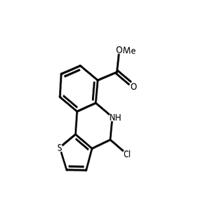 COC(=O)c1cccc2c1NC(Cl)c1ccsc1-2